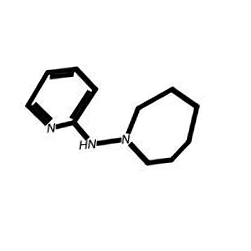 c1ccc(NN2CCCCCC2)nc1